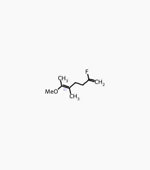 C=C(F)CC/C(C)=C(\C)OC